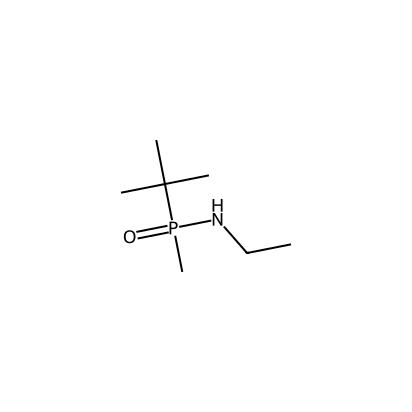 CCNP(C)(=O)C(C)(C)C